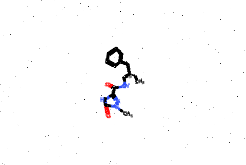 CC[C@H](CNC(=O)c1nn(C)c(=O)[nH]1)Cc1ccccc1